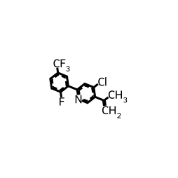 C=C(C)c1cnc(-c2cc(C(F)(F)F)ccc2F)cc1Cl